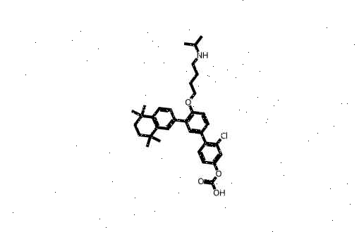 CC(C)NCCCCOc1ccc(-c2ccc(OC(=O)O)cc2Cl)cc1-c1ccc2c(c1)C(C)(C)CCC2(C)C